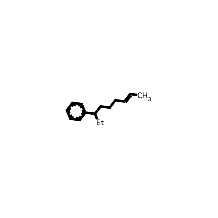 C/C=C/CCCC(CC)c1ccccc1